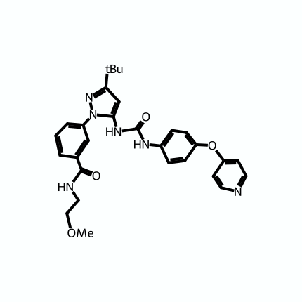 COCCNC(=O)c1cccc(-n2nc(C(C)(C)C)cc2NC(=O)Nc2ccc(Oc3ccncc3)cc2)c1